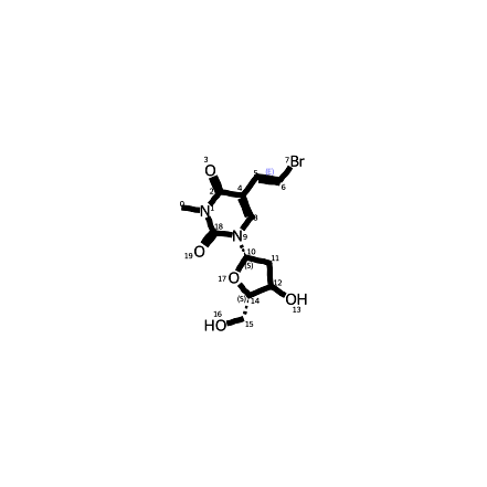 Cn1c(=O)c(/C=C/Br)cn([C@@H]2CC(O)[C@H](CO)O2)c1=O